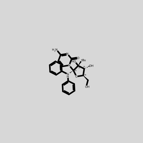 CC(C)(C)[C@@]1(O)[C@H](O)[C@@H](CO)O[C@]1(n1ccc(N)nc1=O)[SiH](c1ccccc1)c1ccccc1